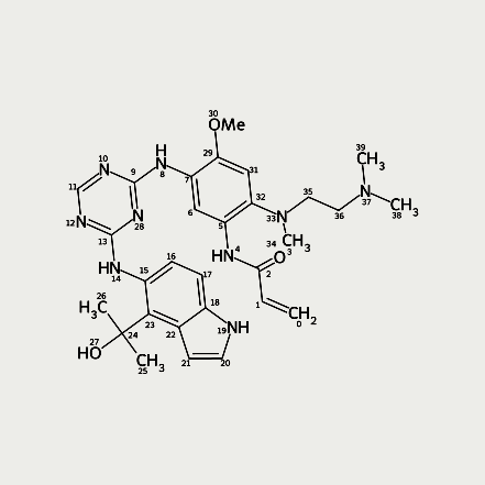 C=CC(=O)Nc1cc(Nc2ncnc(Nc3ccc4[nH]ccc4c3C(C)(C)O)n2)c(OC)cc1N(C)CCN(C)C